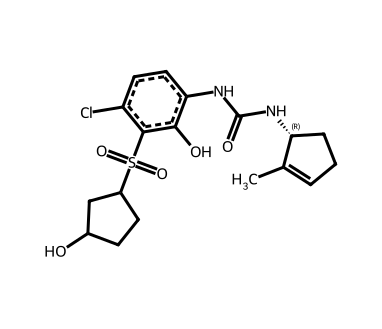 CC1=CCC[C@H]1NC(=O)Nc1ccc(Cl)c(S(=O)(=O)C2CCC(O)C2)c1O